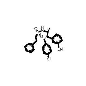 C[C@H](NS(=O)(=O)CCc1ccccc1)[C@@H](Cc1ccc(Cl)cc1)c1cccc(C#N)c1